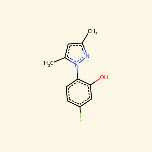 Cc1cc(C)n(-c2ccc(F)cc2O)n1